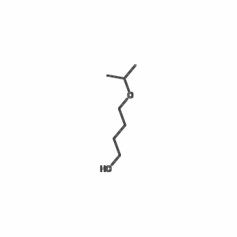 CC(C)OCCCCO